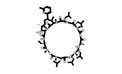 CC[C@H]1NC(=O)C([C@H](O)[C@H](C)CCCc2cccc(C)n2)N(C)C(=O)C(C(C)C)N(C)C(=O)[C@@H](CC(C)C)NC(=O)[C@@H](CC(C)C)N(C)C(=O)OC(=O)[C@@H](C)N[C@@H](CC(C)C)N(C)[C@@H](CC(C)C)NC(=O)[C@H](CC(C)C)N(C)C(=O)CN(C)C1=O